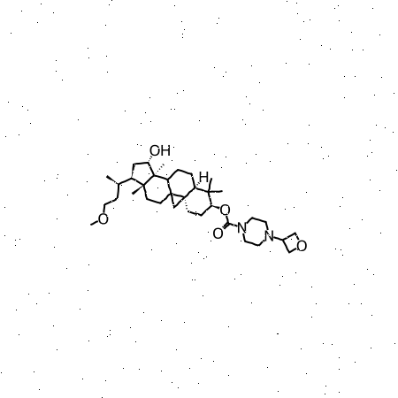 COCC[C@@H](C)[C@H]1C[C@H](O)[C@@]2(C)C3CC[C@H]4C(C)(C)[C@@H](OC(=O)N5CCN(C6COC6)CC5)CC[C@@]45CC35CC[C@]12C